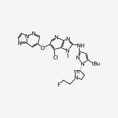 Cn1c(Nc2cc(C(C)(C)C)n([C@@H]3CCN(CCF)C3)n2)nc2ncc(Oc3cnn4ccnc4c3)c(Cl)c21